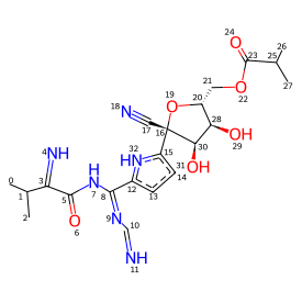 CC(C)C(=N)C(=O)N/C(=N/C=N)c1ccc([C@]2(C#N)O[C@H](COC(=O)C(C)C)[C@@H](O)[C@H]2O)[nH]1